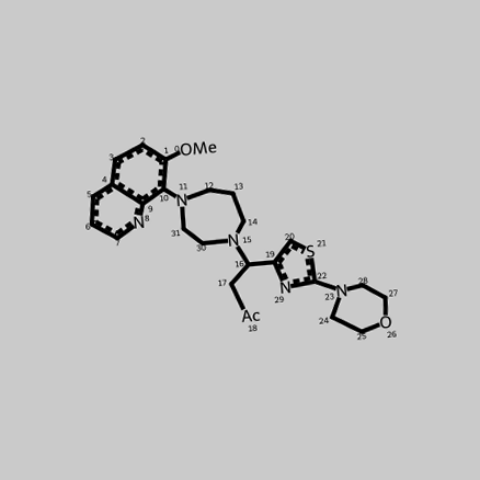 COc1ccc2cccnc2c1N1CCCN(C(CC(C)=O)c2csc(N3CCOCC3)n2)CC1